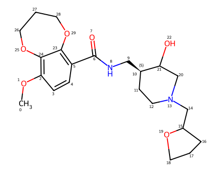 COc1ccc(C(=O)NC[C@@H]2CCN(CC3CCCO3)CC2O)c2c1OCCCO2